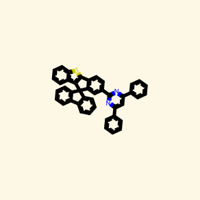 c1ccc(-c2cc(-c3ccccc3)nc(-c3ccc4c(c3)C3(c5ccccc5-c5ccccc53)c3c-4sc4ccccc34)n2)cc1